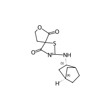 O=C1N=C(N[C@H]2C[C@@H]3CCC2C3)SC12CCOC2=O